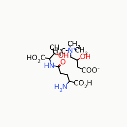 CC(O)C(NC(=O)CCC(N)C(=O)O)C(=O)O.C[N+](C)(C)CC(O)CC(=O)[O-]